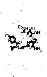 CCNC(=O)[C@H]1O[C@@H](n2cnc3c(N)nc(C#CCN(C(=O)c4ccc(Cl)nc4)C4CC4)nc32)[C@H](O)C1O